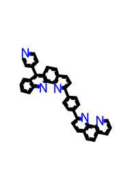 c1cnc2c(c1)ccc1ccc(-c3ccc(-c4ccc5ccc6c(-c7ccncc7)c7ccccc7nc6c5n4)cc3)nc12